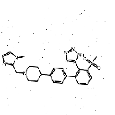 Cn1ccnc1CN1CCC(c2ccc(-c3cccc(S(C)(=O)=O)c3-c3nnn[nH]3)cc2)CC1